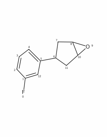 Fc1cccc(C2CC3OC3C2)c1